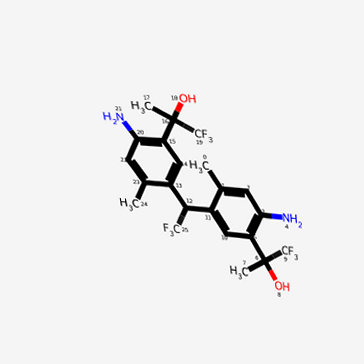 Cc1cc(N)c(C(C)(O)C(F)(F)F)cc1C(c1cc(C(C)(O)C(F)(F)F)c(N)cc1C)C(F)(F)F